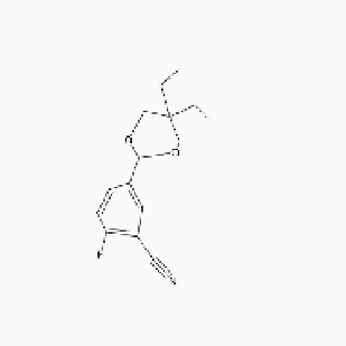 CCC1(CC)COC(c2ccc(F)c(C#N)c2)OC1